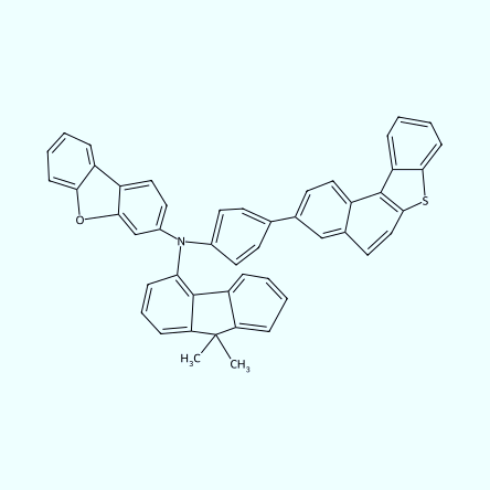 CC1(C)c2ccccc2-c2c(N(c3ccc(-c4ccc5c(ccc6sc7ccccc7c65)c4)cc3)c3ccc4c(c3)oc3ccccc34)cccc21